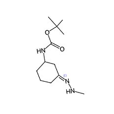 CN/N=C1\CCCC(NC(=O)OC(C)(C)C)C1